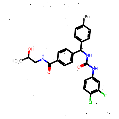 CC(C)(C)c1ccc(C(NC(=O)Nc2ccc(Cl)c(Cl)c2)c2ccc(C(=O)NCC(O)C(=O)O)cc2)cc1